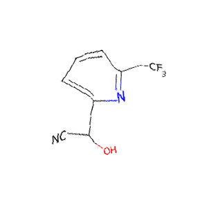 N#CC(O)c1cccc(C(F)(F)F)n1